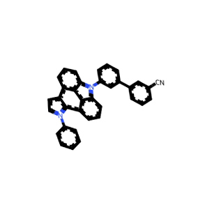 N#Cc1cccc(-c2cccc(-n3c4cccc5c6ccn(-c7ccccc7)c6c6cccc3c6c54)c2)c1